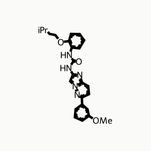 COc1cccc(-c2ccc3nc(NC(=O)Nc4ccccc4OCCC(C)C)cn3n2)c1